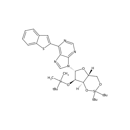 CC(C)(C)[Si](C)(C)O[C@@H]1[C@@H]2O[Si](C(C)(C)C)(C(C)(C)C)OC[C@H]2O[C@H]1n1cnc2c(-c3cc4ccccc4s3)ncnc21